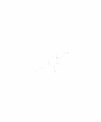 CCCCC1=CCC(C)(CC(C)C)C(F)=C1F